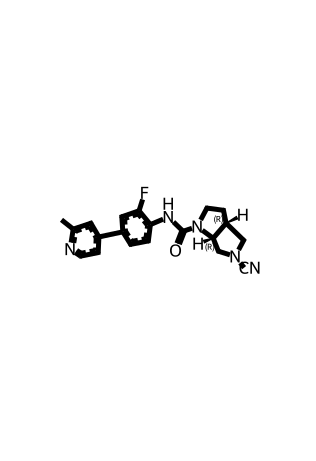 Cc1cc(-c2ccc(NC(=O)N3CC[C@@H]4CN(C#N)C[C@@H]43)c(F)c2)ccn1